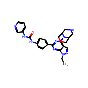 O=C(Nc1ccc(-c2nc(N3C4CNCC3COC4)c3cnn(CC(F)(F)F)c3n2)cc1)Nc1cccnc1